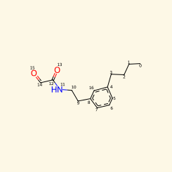 CCCCc1cccc(CCNC(=O)C=O)c1